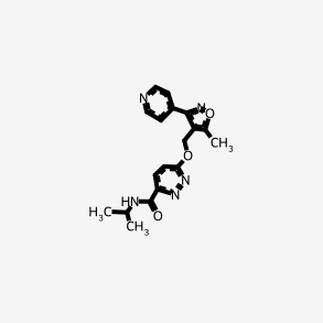 Cc1onc(-c2ccncc2)c1COc1ccc(C(=O)NC(C)C)nn1